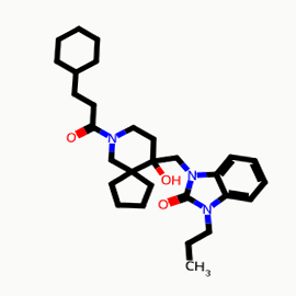 CCCn1c(=O)n(CC2(O)CCN(C(=O)CCC3CCCCC3)CC23CCCC3)c2ccccc21